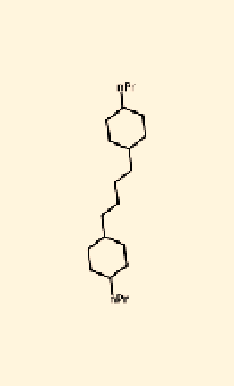 CCCC1CCC(CCCCC2CCC(CCC)CC2)CC1